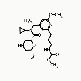 COC(=O)NCCCc1cc([C@@H](C)N(C(=O)[C@H]2CNC[C@@H](CF)O2)C2CC2)cc(OC)n1